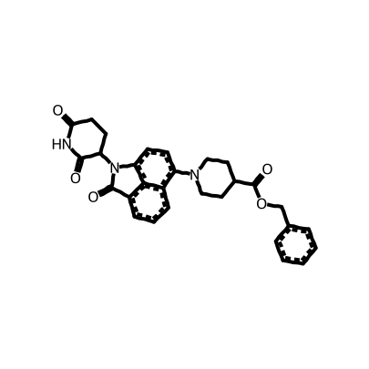 O=C1CCC(N2C(=O)c3cccc4c(N5CCC(C(=O)OCc6ccccc6)CC5)ccc2c34)C(=O)N1